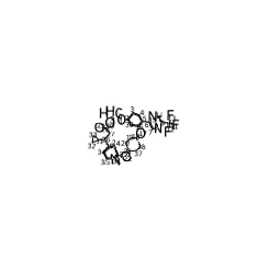 COc1ccc(-c2cnc(C(F)(F)F)cn2)c(O[C@H]2CC[C@H](Oc3cc(C(CC(=O)O)C4CC4)ccn3)CC2)c1